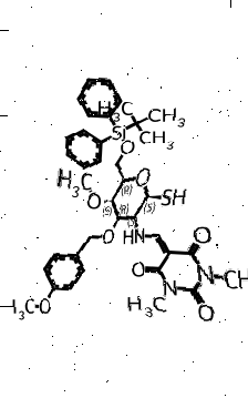 COc1ccc(CO[C@@H]2[C@H](NC=C3C(=O)N(C)C(=O)N(C)C3=O)[C@H](S)O[C@H](CO[Si](c3ccccc3)(c3ccccc3)C(C)(C)C)[C@H]2OC)cc1